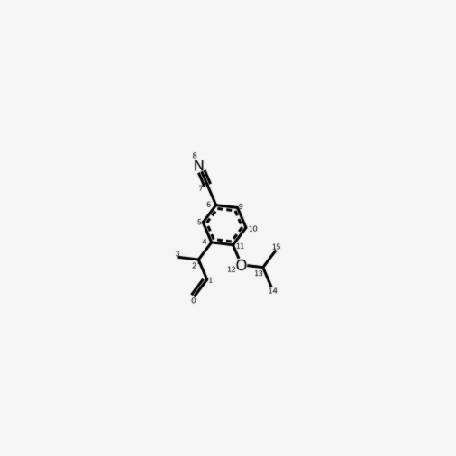 C=C[C](C)c1cc(C#N)ccc1OC(C)C